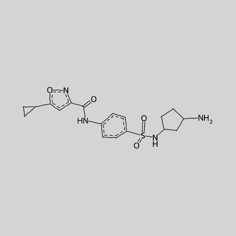 NC1CCC(NS(=O)(=O)c2ccc(NC(=O)c3cc(C4CC4)on3)cc2)C1